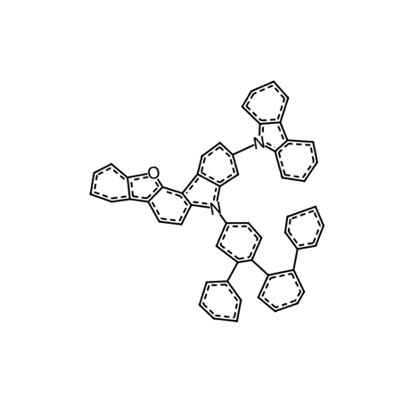 c1ccc(-c2ccccc2-c2ccc(-n3c4cc(-n5c6ccccc6c6ccccc65)ccc4c4c5oc6ccccc6c5ccc43)cc2-c2ccccc2)cc1